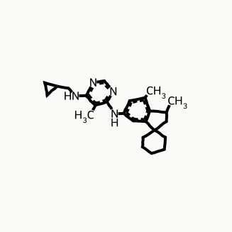 Cc1cc(Nc2ncnc(NCC3CC3)c2C)cc2c1C(C)CC21CCCCC1